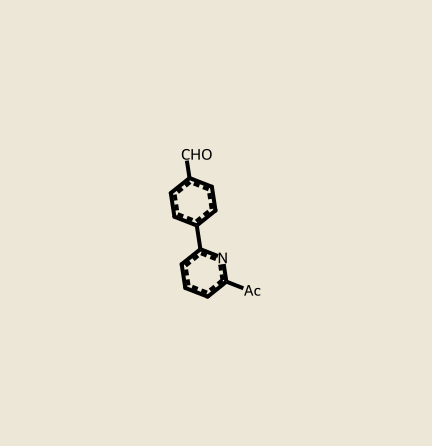 CC(=O)c1cccc(-c2ccc(C=O)cc2)n1